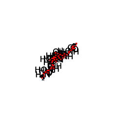 CC1=CC2=C(CC1)C(=O)N(CCNC(=O)CSCC(=O)N[C@@H](CC1=NNNN1)C(=O)NCC(=O)N[C@H](C(=O)N[C@@](C)(Cc1ccccc1F)C(=O)N[C@H](C(=O)NCC(=O)N[C@@H](CC(=O)O)C(=O)NCC(=O)N[C@@H](CCCc1cc(C)cc(C)c1)C(N)=O)[C@@H](C)O)[C@@H](C)O)C2=O